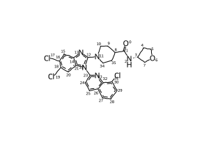 O=C(N[C@@H]1CCOC1)C1CCN(c2nc3cc(Cl)c(Cl)cc3n2-c2ccc3cccc(Cl)c3n2)CC1